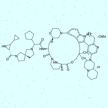 CCn1c(-c2cc(N3CCN4CCCC[C@@H]4C3)cnc2[C@H](C)OC)c2c3cc(ccc31)N1CCO[C@@H](C[C@H](NC(=O)C(C3CCCC3)N3CC[C@]4(CCN(C(=O)[C@@H]5NC5C5CC5)C4)C3)C(=O)N3CCC[C@H](N3)C(=O)OCC(C)(C)C2)C1